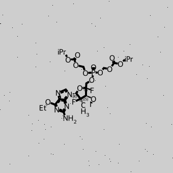 CCOc1nc(N)nc2c1ncn2[C@@H]1O[C@](F)(COP(=O)(OCOC(=O)OC(C)C)OCOC(=O)OC(C)C)[C@@H](OI)[C@@]1(C)F